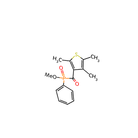 COP(=O)(C(=O)c1c(C)sc(C)c1C)c1ccccc1